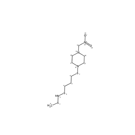 CSNSCCCSN1CCN(C[N+](=O)[O-])CC1